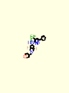 FC(F)(F)c1cc(-c2ccccc2)nnc1NC1C[C@@H]2CN(CC3CCOCC3)C[C@@H]2C1